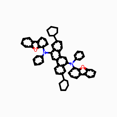 c1ccc(N(c2cc3c4ccc(C5CCCCC5)cc4c(N(c4ccccc4)c4cccc5c4oc4ccccc45)cc3c3ccc(C4CCCCC4)cc23)c2cccc3c2oc2ccccc23)cc1